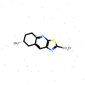 CCOC(=O)c1nc2cc3c(nc2s1)CC[C@@H](C(C)(C)C)C3